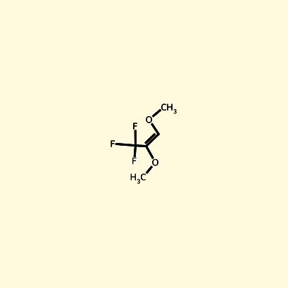 CO/C=C(/OC)C(F)(F)F